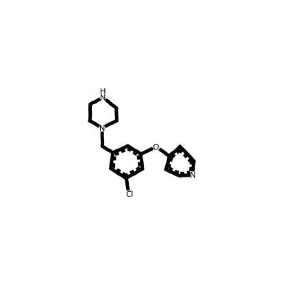 Clc1cc(CN2CCNCC2)cc(Oc2ccncc2)c1